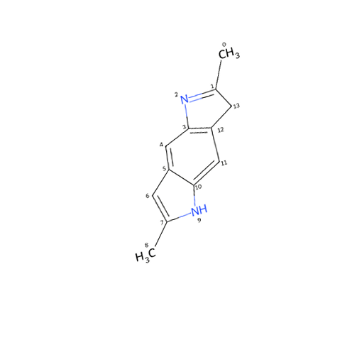 CC1=Nc2cc3cc(C)[nH]c3cc2C1